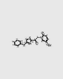 O=C(Cn1cc(Br)ccc1=O)c1nc(Cc2ccccc2)cs1